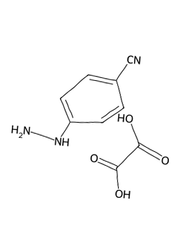 N#Cc1ccc(NN)cc1.O=C(O)C(=O)O